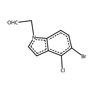 O=[C]Cn1ccc2c(Cl)c(Br)ccc21